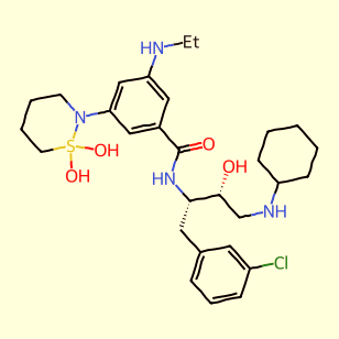 CCNc1cc(C(=O)N[C@@H](Cc2cccc(Cl)c2)[C@H](O)CNC2CCCCC2)cc(N2CCCCS2(O)O)c1